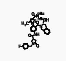 CCCCN(CCCC)C(=O)c1cc(C)n(-c2ccc(NC(=O)C3CC(=O)N(Cc4ccc(F)cc4)C3)cc2C(=O)N2Cc3ccccc3C[C@H]2CO)n1